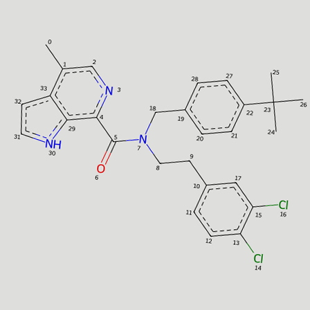 Cc1cnc(C(=O)N(CCc2ccc(Cl)c(Cl)c2)Cc2ccc(C(C)(C)C)cc2)c2[nH]ccc12